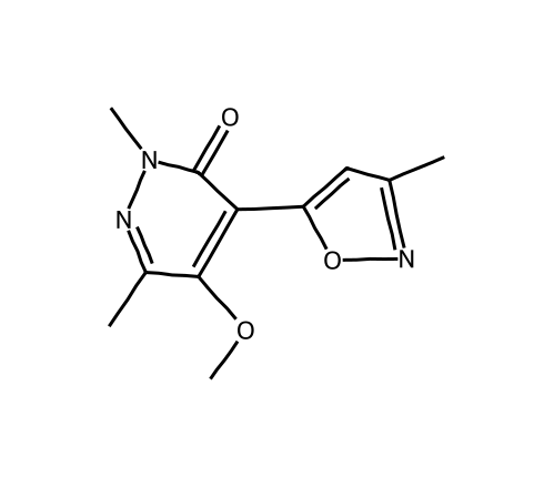 COc1c(C)nn(C)c(=O)c1-c1cc(C)no1